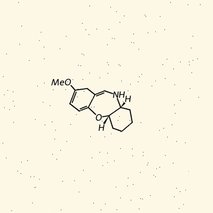 COC1=CC=C2O[C@H]3CCCC[C@H]3NC=C2C1